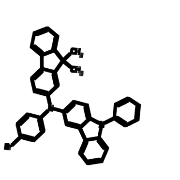 CC1(C)c2ccccc2-c2ccc(N(c3ccc(Br)cc3)c3ccc4c(c3)c3ccccc3n4-c3ccccc3)cc21